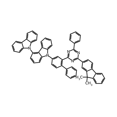 CC1(C)c2ccccc2-c2ccc(-c3nc(-c4ccccc4)nc(-c4cc(-n5c6ccccc6c6c(-n7c8ccccc8c8ccccc87)cccc65)ccc4-c4ccccc4)n3)cc21